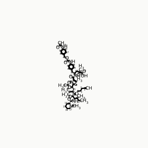 C#CCCCON(C(=O)C(NC(=O)[C@H]1CCCCN1C)[C@@H](C)CC)[C@H](C[C@@H](OC(C)=O)c1nc(C(=O)N[C@@H](Cc2ccc(NC(=O)OCc3ccc(NC(C)=O)cc3)cc2)CC(C)(C)C(=O)O)cs1)C(C)C